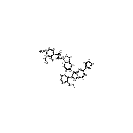 Nc1ncccc1-c1nc2ccc(-n3cccn3)nc2n1-c1ccc2c(c1)CC[C@@H]2NC(=O)c1ccc(O)c(C=O)c1F